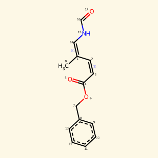 CC(/C=C\C(=O)OCc1ccccc1)=C/NC=O